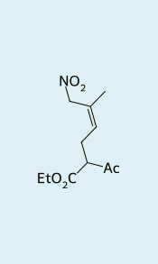 CCOC(=O)C(CC=C(C)C[N+](=O)[O-])C(C)=O